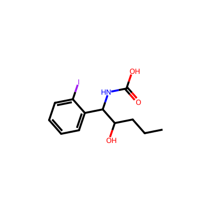 CCCC(O)C(NC(=O)O)c1ccccc1I